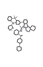 C=C(c1ccc(-c2ccccc2)cc1)c1ccccc1/N=C(\C)n1c2ccc3ccccc3c2c2cccc(-c3ccc4c(c3)C(C)(C)c3ccccc3N4c3ccccc3)c21